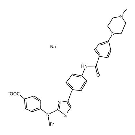 CC(C)N(c1ccc(C(=O)[O-])cc1)c1nc(-c2ccc(NC(=O)c3ccc(N4CCN(C)CC4)cc3)cc2)cs1.[Na+]